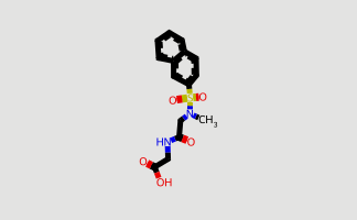 CN(CC(=O)NCC(=O)O)S(=O)(=O)c1ccc2ccccc2c1